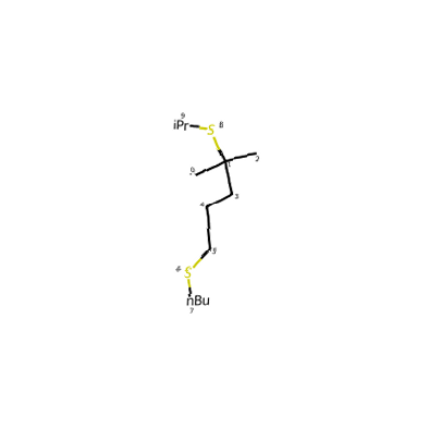 [CH2]C(C)(CCCSCCCC)SC(C)C